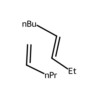 C=CCCC.CCC=CCCCC